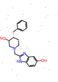 Oc1ccc2[nH]c(CN3CC[C@@H](Cc4ccccc4)[C@H](O)C3)nc2c1